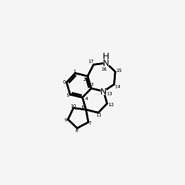 c1cc2c3c(c1)C1(CCCC1)CCN3CCNC2